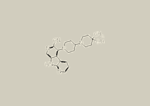 CC1(O)CCN(C2CCN(c3c(C#N)ncc4[nH]c5ncccc5c34)CC2)CC1